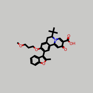 COCCCOc1cc2c(cc1-c1c(C)oc3ccccc13)-c1cc(=O)c(C(=O)O)cn1C(C(C)(C)C)C2